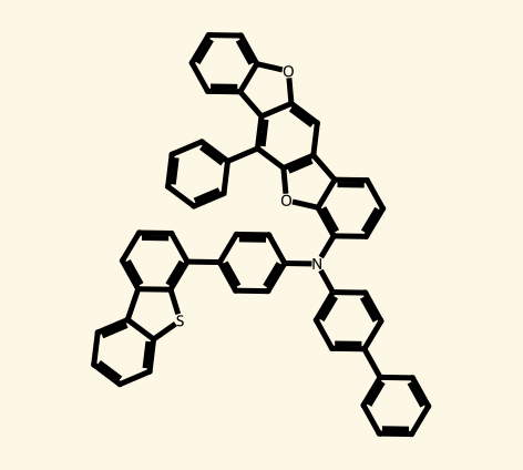 c1ccc(-c2ccc(N(c3ccc(-c4cccc5c4sc4ccccc45)cc3)c3cccc4c3oc3c(-c5ccccc5)c5c(cc34)oc3ccccc35)cc2)cc1